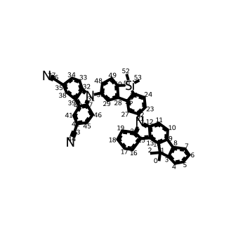 CC1(C)c2ccccc2-c2ccc3c(c21)c1ccccc1n3-c1ccc2c(c1)-c1cc(-n3c4ccc(C#N)cc4c4cc(C#N)ccc43)ccc1[Si]2(C)C